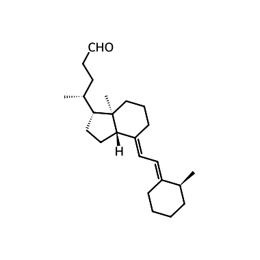 C[C@H](CCC=O)[C@H]1CC[C@H]2C(=CC=C3CCCC[C@@H]3C)CCC[C@]12C